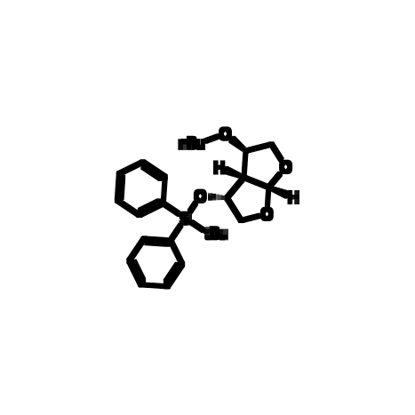 CCCCO[C@H]1CO[C@@H]2OC[C@H](O[Si](c3ccccc3)(c3ccccc3)C(C)(C)C)[C@@H]21